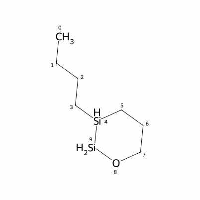 CCCC[SiH]1CCCO[SiH2]1